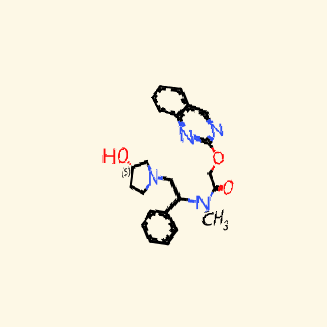 CN(C(=O)COc1ncc2ccccc2n1)C(CN1CC[C@H](O)C1)c1ccccc1